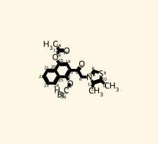 COc1c(C(=O)C[n+]2csc(C)c2C)cc(OC(C)=O)c2ccccc12.[Br-]